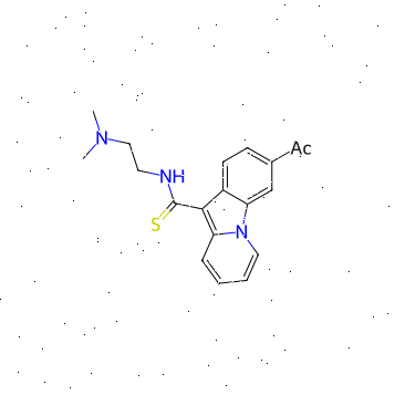 CC(=O)c1ccc2c(C(=S)NCCN(C)C)c3ccccn3c2c1